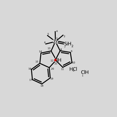 Cl.Cl.[CH3][Zr]([CH3])([CH3])([CH3])(=[SiH2])([C]1=CC=CC1)[c]1cc2ccccc2[nH]1